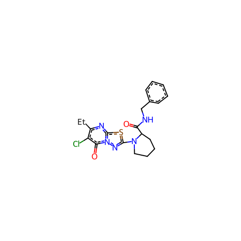 CCc1nc2sc(N3CCCCC3C(=O)NCc3ccccc3)nn2c(=O)c1Cl